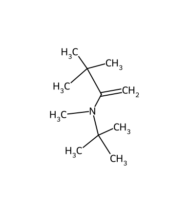 C=C(N(C)C(C)(C)C)C(C)(C)C